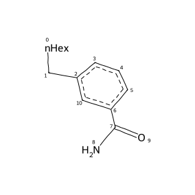 CCCCCCCc1cccc(C(N)=O)c1